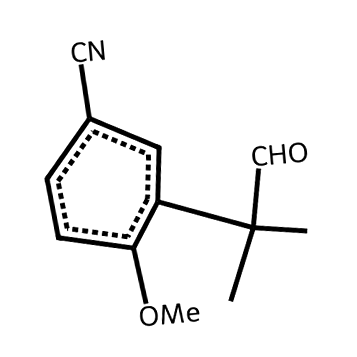 COc1ccc(C#N)cc1C(C)(C)C=O